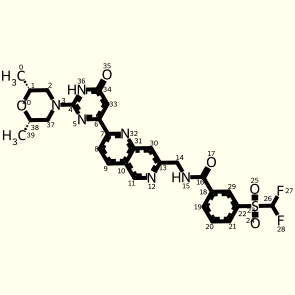 C[C@@H]1CN(c2nc(-c3ccc4cnc(CNC(=O)c5cccc(S(=O)(=O)C(F)F)c5)cc4n3)cc(=O)[nH]2)C[C@H](C)O1